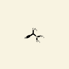 CC(C#N)N(C)N